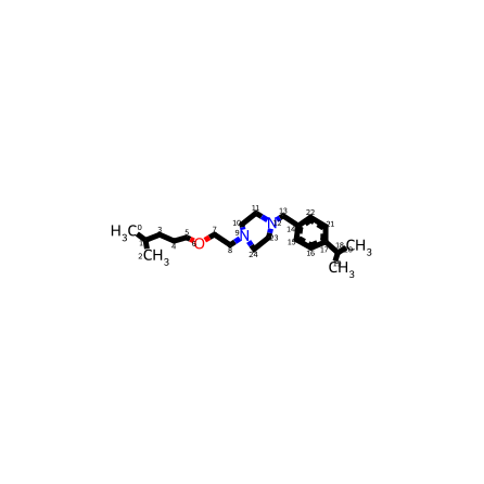 CC(C)CCCOCCN1CCN(Cc2ccc(C(C)C)cc2)CC1